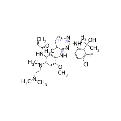 C=CC(=O)Nc1cc(N/C2=N/C(Nc3ccc(Cl)c(F)c3C(C)(C)O)=N\C=C\CC2C)c(OC)cc1N(C)CCN(C)C